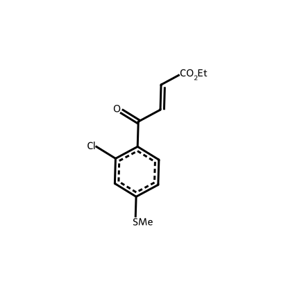 CCOC(=O)/C=C/C(=O)c1ccc(SC)cc1Cl